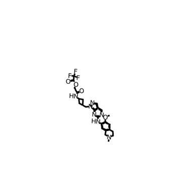 COc1cc2c(cc1Nc1ncc3cnn(CC4CC(NC(=O)COC(=O)C(F)(F)F)C4)c3n1)CN(C)CC2